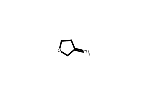 C=C1C[CH]OC1